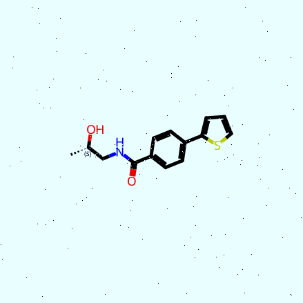 C[C@H](O)CNC(=O)c1ccc(-c2cccs2)cc1